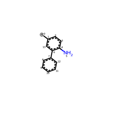 [B]c1ccc(N)c(-c2ccccc2)c1